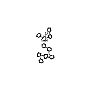 c1ccc(-c2nc(-c3cccc(-c4cccc(-n5c6ccccc6c6ccc(-c7ccccc7-c7ccccc7)cc65)c4)c3)nc(-c3cccc4c3oc3ccccc34)n2)cc1